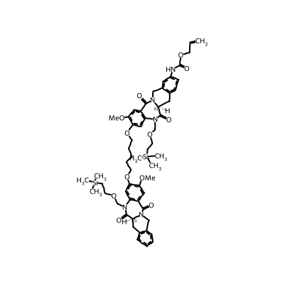 C=CCOC(=O)Nc1ccc2c(c1)CN1C(=O)c3cc(OC)c(OCCCCCOc4cc5c(cc4OC)C(=O)N4Cc6ccccc6C[C@H]4C(=O)N5COCC[Si](C)(C)C)cc3N(COCC[Si](C)(C)C)C(=O)[C@@H]1C2